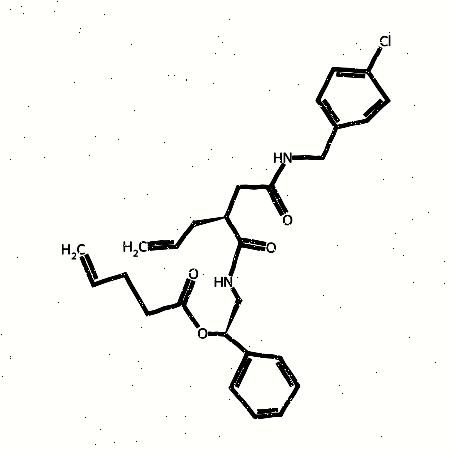 C=CCCC(=O)O[C@@H](CNC(=O)[C@@H](CC=C)CC(=O)NCc1ccc(Cl)cc1)c1ccccc1